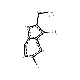 CCc1sc2ccc(F)cc2c1C